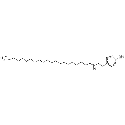 CCCCCCCCCCCCCCCCCCCCCNCCc1ccc(O)cc1